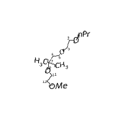 CCCOCCOCCC(C)(C)OCCOC